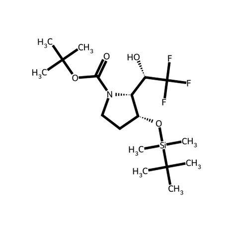 CC(C)(C)OC(=O)N1CC[C@@H](O[Si](C)(C)C(C)(C)C)[C@H]1[C@H](O)C(F)(F)F